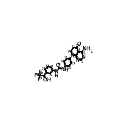 Nc1ncnc2c1c(=O)ccn2-c1ccc(NC(=O)Nc2cccc(C(O)C(F)(F)F)c2)cc1